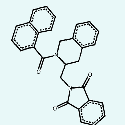 O=C1c2ccccc2C(=O)N1CC1Cc2ccccc2CN1C(=O)c1cccc2ccccc12